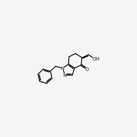 O=C1C(=CO)CCc2c1cnn2Cc1ccccc1